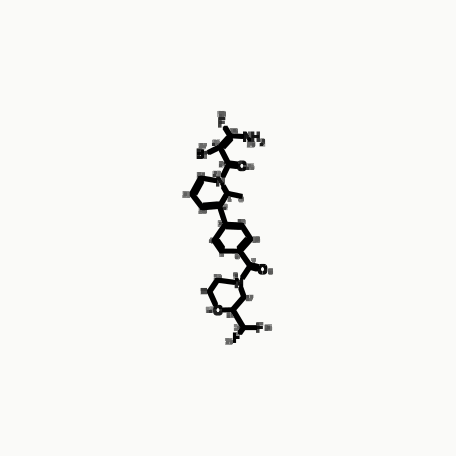 CC1C(c2ccc(C(=O)N3CCOC(C(F)F)C3)cc2)=CC=CN1C(=O)/C(Br)=C(\N)F